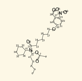 CCCCCC(OC(C)=O)N(C(=O)CCCCCCOc1ccc([N+](=O)[O-])c(C=O)c1)C1CCCCC1